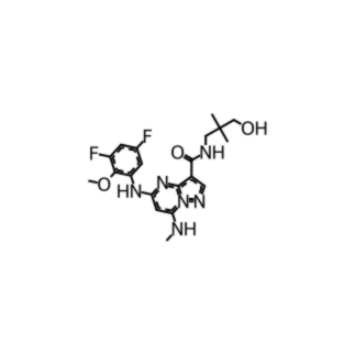 CNc1cc(Nc2cc(F)cc(F)c2OC)nc2c(C(=O)NCC(C)(C)CO)cnn12